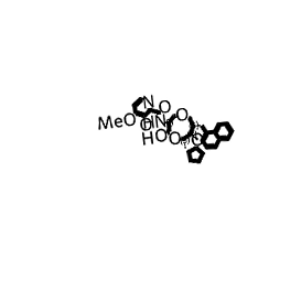 COc1ccnc(C(=O)N[C@H]2COC[C@H](Cc3cccc4ccccc34)[C@@H](OC3CCCC3)[C@H](C)OC2=O)c1O